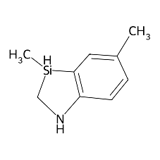 Cc1ccc2c(c1)[SiH](C)CN2